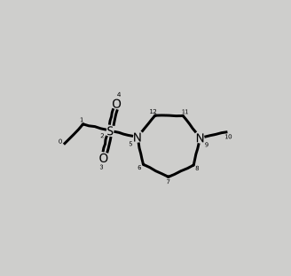 CCS(=O)(=O)N1CCCN(C)CC1